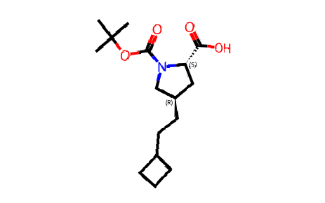 CC(C)(C)OC(=O)N1C[C@H](CCC2CCC2)C[C@H]1C(=O)O